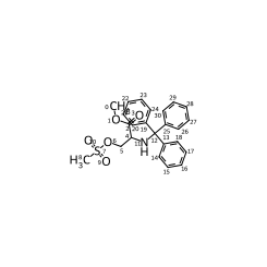 COC(=O)C(COS(C)(=O)=O)NC(c1ccccc1)(c1ccccc1)c1ccccc1